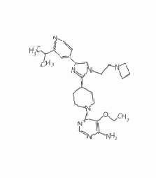 CCOc1c(N)ncnc1N1CCC(c2nc(-c3ccnc(C(C)C)c3)cn2CCN2CCC2)CC1